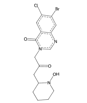 O=C(CC1CCCCN1O)Cn1cnc2cc(Br)c(Cl)cc2c1=O